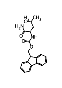 CC(C)C[C@@H](NC(=O)OCC1c2ccccc2-c2ccccc21)C(N)=O